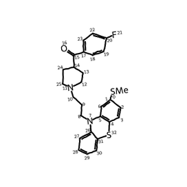 CSc1ccc2c(c1)N(CCCN1CCC(C(=O)c3ccc(F)cc3)CC1)c1ccccc1S2